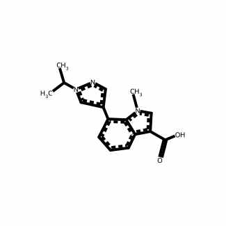 CC(C)n1cc(-c2cccc3c(C(=O)O)cn(C)c23)cn1